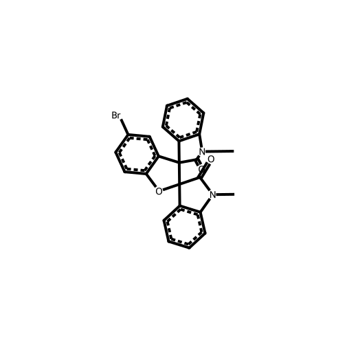 CN1C(=O)C2(Oc3ccc(Br)cc3C23C(=O)N(C)c2ccccc23)c2ccccc21